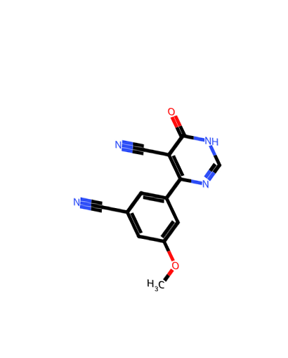 COc1cc(C#N)cc(-c2nc[nH]c(=O)c2C#N)c1